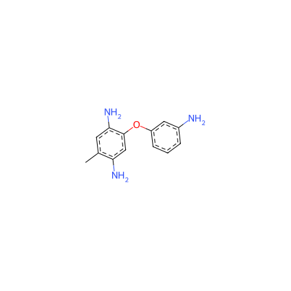 Cc1cc(N)c(Oc2cccc(N)c2)cc1N